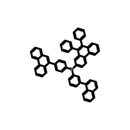 c1ccc(-c2c(-c3ccccc3)c3cc(N(c4ccc(-c5cc6ccccc6c6ccccc56)cc4)c4cccc(-c5cccc6ccccc56)c4)ccc3c3ccccc23)cc1